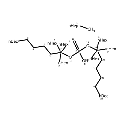 CCCCCCCC.CCCCCCCCCCCCCCP(CCCCCC)(CCCCCC)(CCCCCC)OP(=O)(O)OP(CCCCCC)(CCCCCC)(CCCCCC)CCCCCCCCCCCCCC